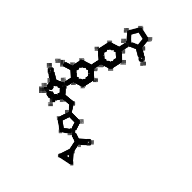 O=C(C1CC1)N1CC[C@@H](Cc2n[nH]c(=O)n2-c2ccc(-c3ccc(N4CCCC4=O)cc3)cc2F)C1